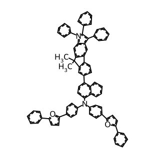 CC1(C)c2cc(-c3ccc(N(c4ccc(-c5ccc(-c6ccccc6)o5)cc4)c4ccc(-c5ccc(-c6ccccc6)o5)cc4)c4ccccc34)ccc2-c2cc3c(-c4ccccc4)c(-c4ccccc4)n(-c4ccccc4)c3cc21